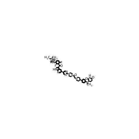 CCN(C)S(=O)(=O)Nc1ccc(F)c(C(=O)c2c[nH]c3ncc(-c4cnc(N5CCN(C(=O)CN6CCC(c7ccc(N(C)C8CCC(=O)NC8=O)cc7)CC6)CC5)nc4)cc23)c1F